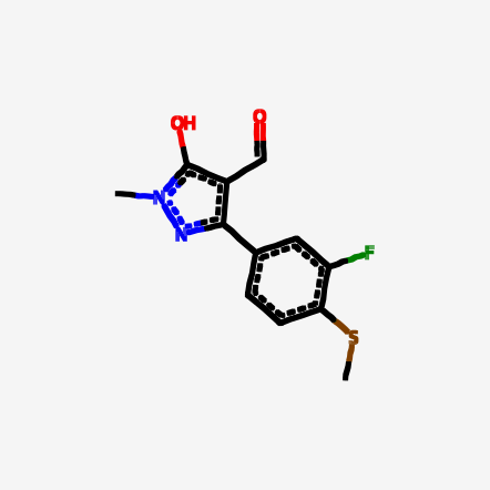 CSc1ccc(-c2nn(C)c(O)c2C=O)cc1F